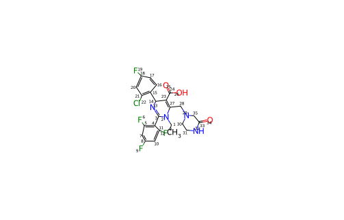 CCN1C(c2c(F)cc(F)cc2F)=NC(c2ccc(F)cc2Cl)C(C(=O)O)=C1CN1CCNC(=O)C1